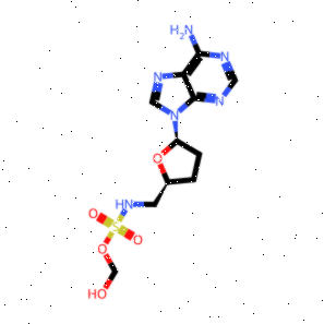 Nc1ncnc2c1ncn2[C@H]1CC[C@@H](CNS(=O)(=O)OCO)O1